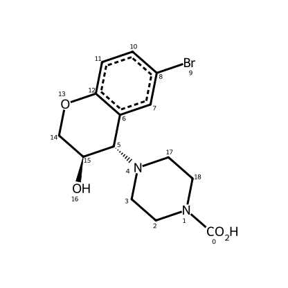 O=C(O)N1CCN([C@H]2c3cc(Br)ccc3OC[C@@H]2O)CC1